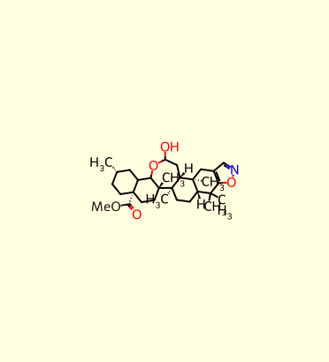 COC(=O)[C@]12CC[C@H](C)CC1C1OC(O)C[C@@H]3[C@@]4(C)Cc5cnoc5C(C)(C)[C@@H]4CC[C@@]3(C)[C@]1(C)CC2